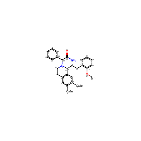 COc1cc2c(cc1OC)[C@H](CCc1ccccc1OC(F)(F)F)N(C(C(N)=O)c1ccccc1)CC2